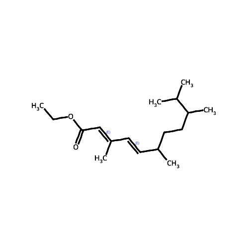 CCOC(=O)/C=C(C)/C=C/C(C)CCC(C)C(C)C